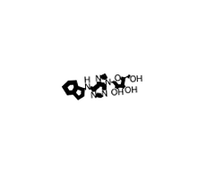 OC[C@H]1O[C@@H](n2cnc3c(N[C@@H]4CCc5ccccc54)ncnc32)C(O)C1O